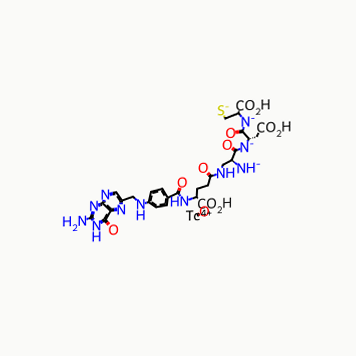 [NH-][C@@H](CNC(=O)CC[C@@H](NC(=O)c1ccc(NCc2cnc3nc(N)[nH]c(=O)c3n2)cc1)C(=O)O)C(=O)[N-][C@@H](CC(=O)O)C(=O)[N-][C@@H](C[S-])C(=O)O.[O]=[Tc+4]